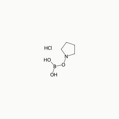 Cl.OB(O)ON1CCCC1